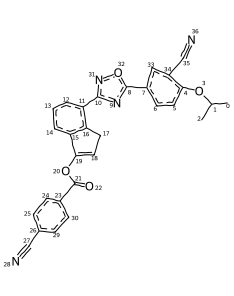 CC(C)Oc1ccc(-c2nc(-c3cccc4c3CC=C4OC(=O)c3ccc(C#N)cc3)no2)cc1C#N